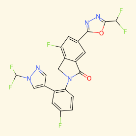 O=C1c2cc(-c3nnc(C(F)F)o3)cc(F)c2CN1c1ccc(F)cc1-c1cnn(C(F)F)c1